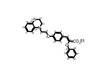 CCOC(=O)/C(=C/c1ccc(OCCN2CCSc3ccccc32)cc1)Oc1ccccc1